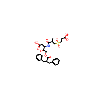 CC(CS(=O)(=O)CCC(=O)O)C(=O)NC(CC(=O)O)C(=O)COC(=O)C(Cc1ccccc1)Cc1ccccc1